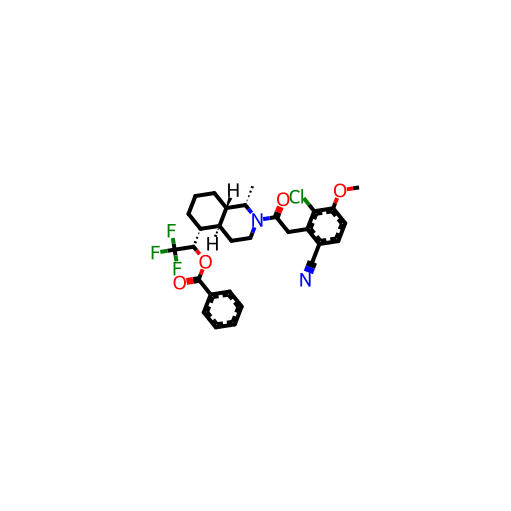 COc1ccc(C#N)c(CC(=O)N2CC[C@@H]3[C@H](CCC[C@H]3C(OC(=O)c3ccccc3)C(F)(F)F)[C@@H]2C)c1Cl